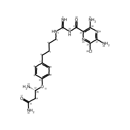 N=C(NCCCCc1ccc(O[C@@H](N)CC(N)=O)cc1)NC(=O)c1nc(Cl)c(N)nc1N